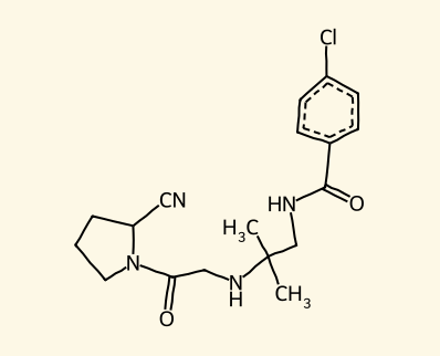 CC(C)(CNC(=O)c1ccc(Cl)cc1)NCC(=O)N1CCCC1C#N